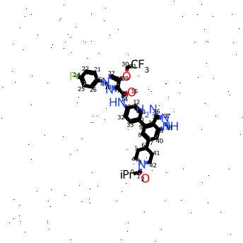 CC(C)C(=O)N1CCC(c2cc(-c3ccc(NC(=O)c4nn(-c5ccc(F)cc5)cc4OCC(F)(F)F)cc3)c3c(N)n[nH]c3c2)CC1